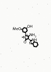 COc1cc(O)cc(-n2c(N)c(-c3nc4ccccc4[nH]3)c(=O)n2C)c1